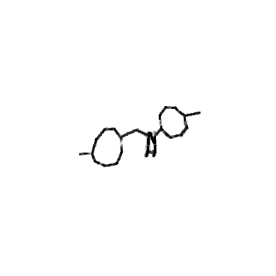 CC1CCCCC(CNC2CCCC(C)CCC2)CCC1